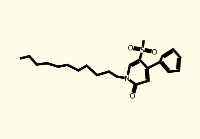 CCCCCCCCCCCn1cc(S(C)(=O)=O)c(-c2ccccc2)cc1=O